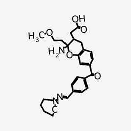 COCCC1(N)Oc2cc(C(=O)c3ccc(C=NN4CCCCC4)cc3)ccc2CC1CC(=O)O